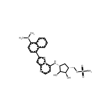 CN(C)c1ccc(-c2cc3nccc(N[C@@H]4C[C@H](COS(N)(=O)=O)[C@@H](O)C4O)n3n2)c2ccccc12